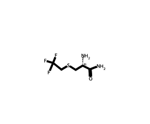 NC(=O)[C@@H](N)CSCC(F)(F)F